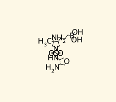 C[C@]1(N)CN(S(=O)(=O)N[C@H]2COC[C@H]2N)C[C@@H]1CCCB(O)O